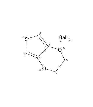 [BaH2].c1scc2c1OCCO2